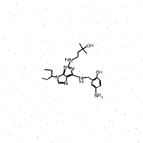 CCC(CC)n1cnc2c(NCc3cc(N)ccc3O)nc(NCCC(C)(C)O)nc21